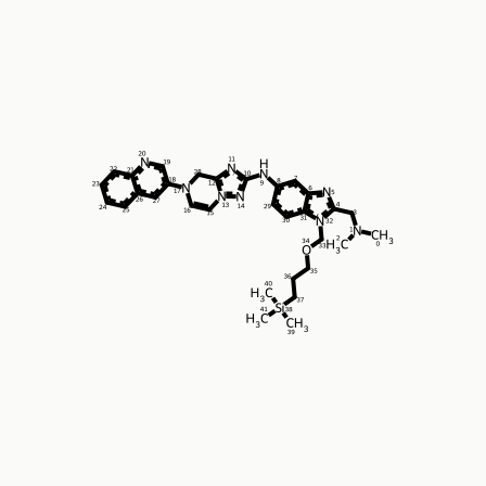 CN(C)Cc1nc2cc(Nc3nc4n(n3)C=CN(c3cnc5ccccc5c3)C4)ccc2n1COCCC[Si](C)(C)C